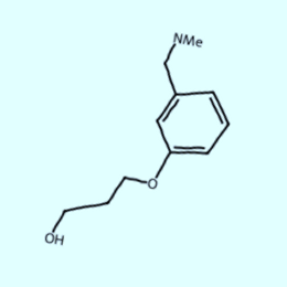 CNCc1cccc(OCCCO)c1